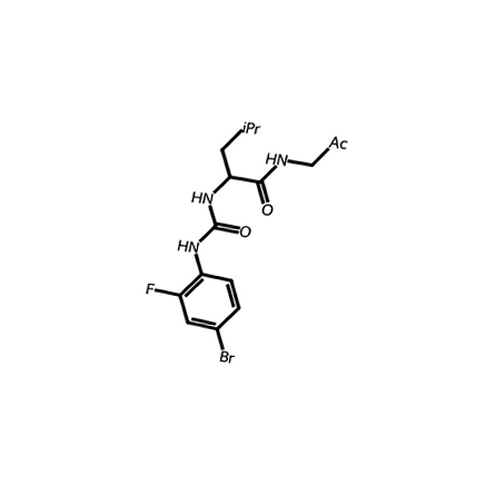 CC(=O)CNC(=O)C(CC(C)C)NC(=O)Nc1ccc(Br)cc1F